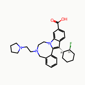 O=C(O)c1ccc2c([C@H]3CCCC[C@@H]3F)c3n(c2c1)CCN(CCN1CCCC1)Cc1ccccc1-3